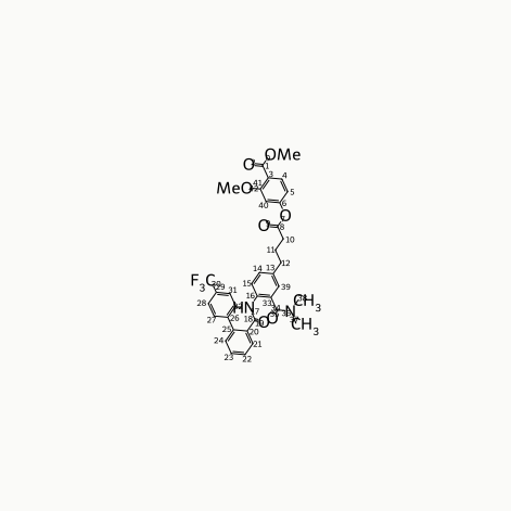 COC(=O)c1ccc(OC(=O)CCCc2ccc(NC(=O)c3ccccc3-c3ccc(C(F)(F)F)cc3)c(C(=O)N(C)C)c2)cc1OC